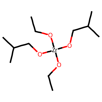 CC[O][Zr]([O]CC)([O]CC(C)C)[O]CC(C)C